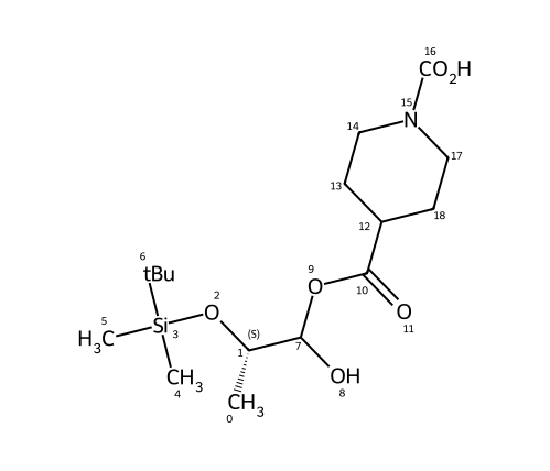 C[C@H](O[Si](C)(C)C(C)(C)C)C(O)OC(=O)C1CCN(C(=O)O)CC1